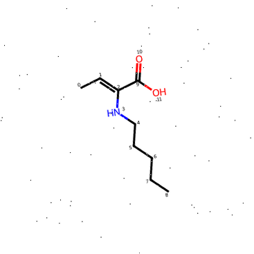 C/C=C(\NCCCCC)C(=O)O